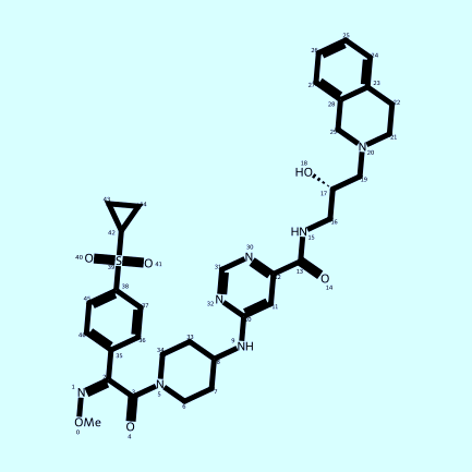 CO/N=C(\C(=O)N1CCC(Nc2cc(C(=O)NC[C@H](O)CN3CCc4ccccc4C3)ncn2)CC1)c1ccc(S(=O)(=O)C2CC2)cc1